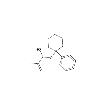 C=C(C)C(O)OC1(c2ccccc2)CCCCC1